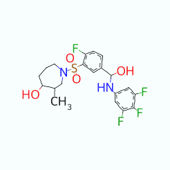 CC1CN(S(=O)(=O)c2cc(C(O)Nc3cc(F)c(F)c(F)c3)ccc2F)CCCC1O